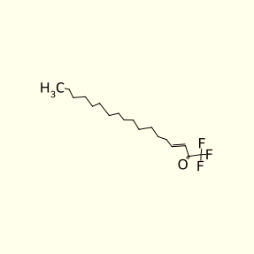 CCCCCCCCCCCCCCC=CC(=O)C(F)(F)F